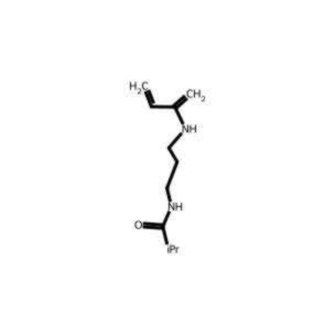 C=CC(=C)NCCCNC(=O)C(C)C